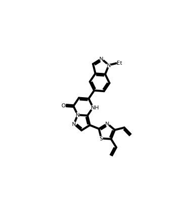 C=Cc1nc(-c2cnn3c(=O)cc(-c4ccc5c(cnn5CC)c4)[nH]c23)sc1C=C